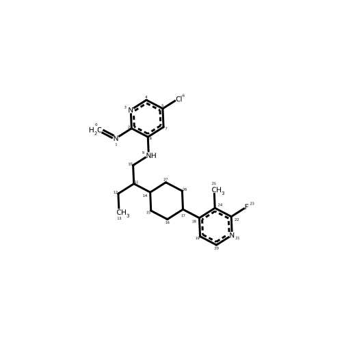 C=Nc1ncc(Cl)cc1NCC(CC)C1CCC(c2ccnc(F)c2C)CC1